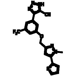 Cn1nc(COc2cc(-c3nn[nH]c3C#N)cc(C(F)(F)F)c2)cc1-c1cccs1